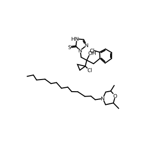 CCCCCCCCCCCCCN1CC(C)OC(C)C1.OC(Cc1ccccc1Cl)(Cn1nc[nH]c1=S)C1(Cl)CC1